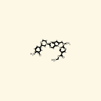 CCOC(=O)c1cnc(N(C)Cc2cc3nc(N4CCOC(c5ccc(N)c(Cl)c5)C4)ncc3s2)nc1